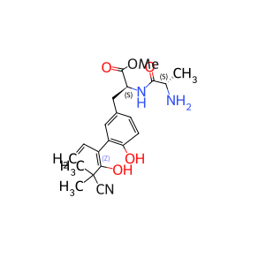 C=C/C(=C(/O)C(C)(C)C#N)c1cc(C[C@H](NC(=O)[C@H](C)N)C(=O)OC)ccc1O